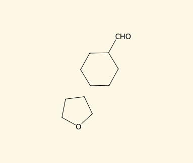 C1CCOC1.O=CC1CCCCC1